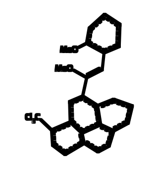 COC(=Cc1ccccc1OC)c1cc2c(C(Cl)(Cl)Cl)ccc3ccc4cccc1c4c32